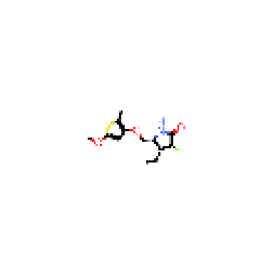 CC[C@@H]1[C@H](F)C(=O)N[C@@H]1COc1cc(OC)sc1C